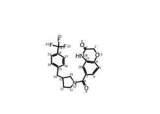 O=C1COc2ccc(C(=O)N3CCC(Cc4ccc(C(F)(F)F)cc4)C3)cc2N1